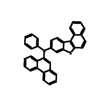 c1ccc(N(c2ccc3c(c2)sc2ccc4ccccc4c23)c2cc3ccccc3c3ccccc23)cc1